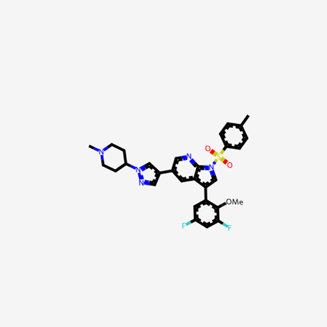 COc1c(F)cc(F)cc1-c1cn(S(=O)(=O)c2ccc(C)cc2)c2ncc(-c3cnn(C4CCN(C)CC4)c3)cc12